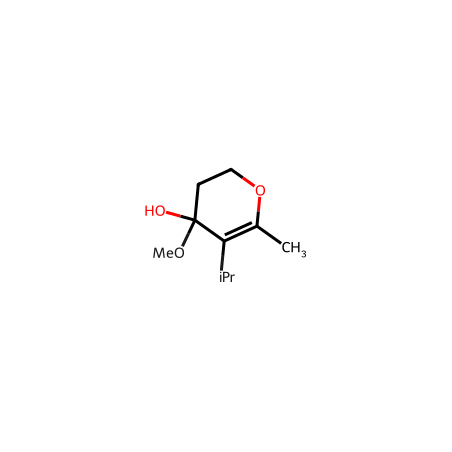 COC1(O)CCOC(C)=C1C(C)C